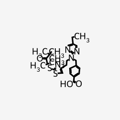 CCc1cnc(N(CCc2csc(SC(C)(C)C(=O)C(C)(C)C)n2)Cc2ccc(C(=O)O)cc2)nc1